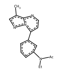 CCN(C(C)=O)c1cccc(-c2ccnc3c(C)cnn23)c1